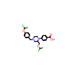 O=C(O)c1ccc(N2CCN(Cc3ccc(OC(F)F)cc3)CC2COC(F)F)cc1